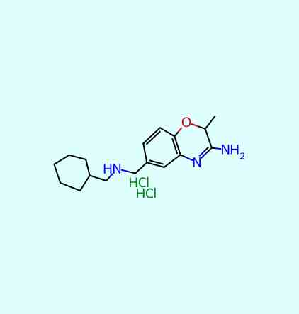 CC1Oc2ccc(CNCC3CCCCC3)cc2N=C1N.Cl.Cl